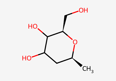 C[C@H]1CC(O)C(O)[C@@H](CO)O1